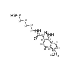 Cn1ncc2c3[nH]nc(C(=O)NCCCCCCS)c3ccc21